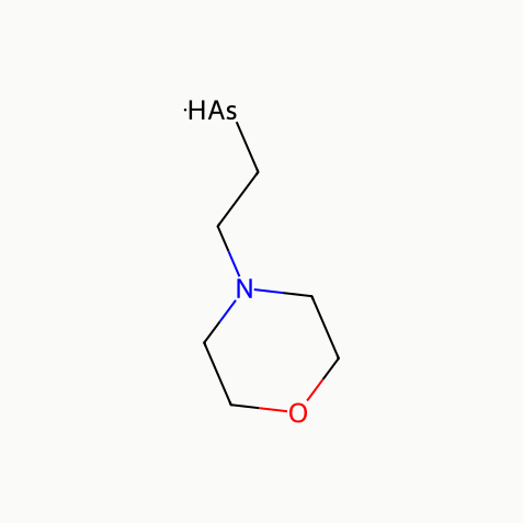 [AsH]CCN1CCOCC1